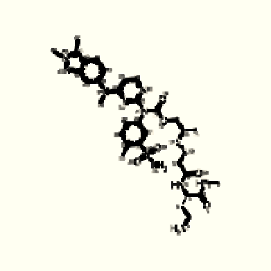 CPC(=O)[C@H](CCN)NC(=O)CSS[C@H](C)COC(=O)N(c1ccc(C)c(S(N)(=O)=O)c1)c1nccc(N(C)c2ccc3c(C)n(C)nc3c2)n1